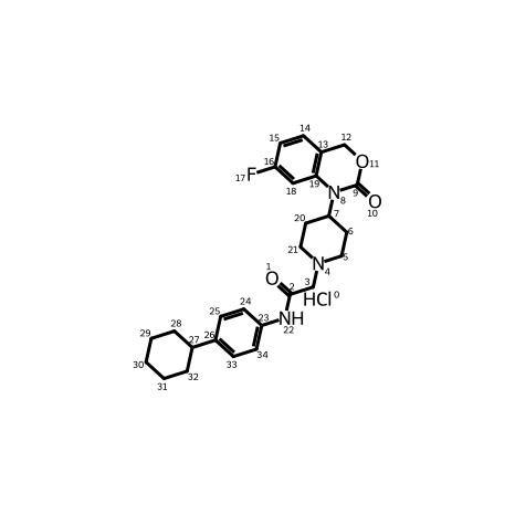 Cl.O=C(CN1CCC(N2C(=O)OCc3ccc(F)cc32)CC1)Nc1ccc(C2CCCCC2)cc1